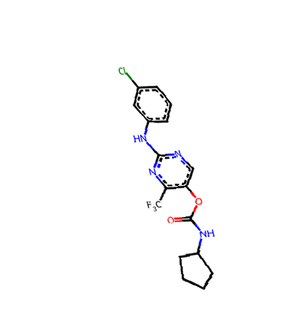 O=C(NC1CCCC1)Oc1cnc(Nc2cccc(Cl)c2)nc1C(F)(F)F